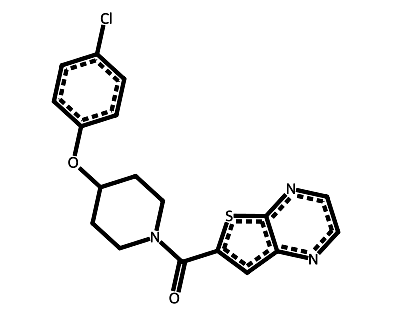 O=C(c1cc2nccnc2s1)N1CCC(Oc2ccc(Cl)cc2)CC1